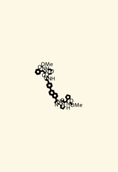 COC(=O)N[C@H](C(=O)N1CCC[C@H]1c1ncc(-c2ccc3cc(-c4ccc(-c5cnc([C@@H]6COCCN6C(=O)[C@H](NC(=O)OC)c6ccccc6)[nH]5)cc4)ccc3c2)[nH]1)C1CCCC1